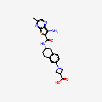 Cc1cnc2c(N)c(C(=O)N[C@H]3CCc4cc(N5CC(C(=O)O)C5)ccc4C3)sc2n1